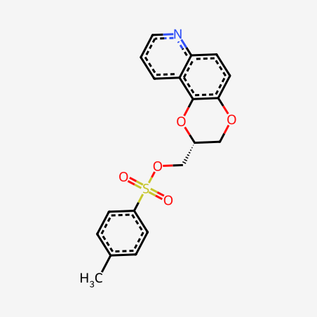 Cc1ccc(S(=O)(=O)OC[C@H]2COc3ccc4ncccc4c3O2)cc1